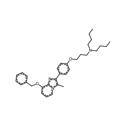 CCCCN(CCCC)CCCOc1ccc(-c2nc3c(OCc4ccccc4)cccn3c2C)cc1